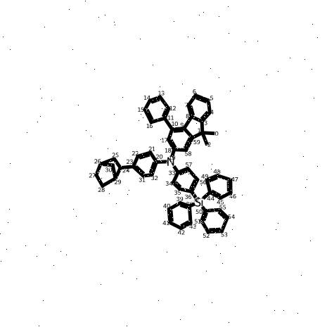 CC1(C)c2ccccc2-c2c(-c3ccccc3)cc(N(c3ccc(C4CC5CCC4C5)cc3)c3ccc([Si](c4ccccc4)(c4ccccc4)c4ccccc4)cc3)cc21